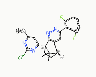 COc1cc([C@]23CC[C@@H](c4cc(-c5c(F)cccc5F)nnc42)C3(C)C)nc(Cl)n1